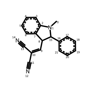 CN1c2ccccc2C(C=C(C#N)C#N)C1c1ccccc1